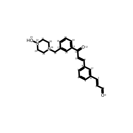 O=[C]/C=C/c1cccc(/C=C/C(=O)c2cccc(CN3CCN(O)CC3)c2)c1